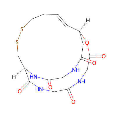 O=C1CNC(=O)[C@H]2CSSCC/C=C/[C@H](CC(=O)NCC(=O)N2)OC(=O)CN1